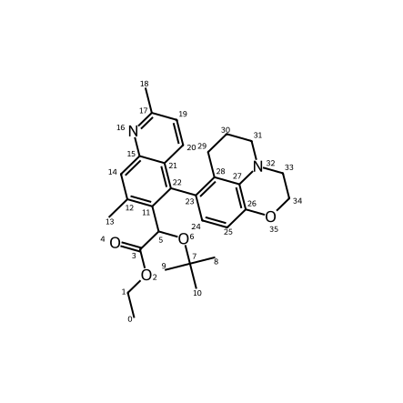 CCOC(=O)C(OC(C)(C)C)c1c(C)cc2nc(C)ccc2c1-c1ccc2c3c1CCCN3CCO2